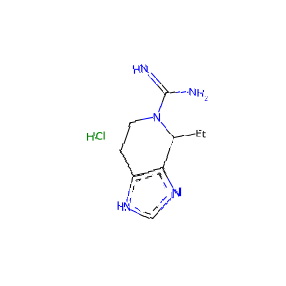 CCC1c2nc[nH]c2CCN1C(=N)N.Cl